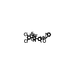 Cc1cc(C2=NOC(c3cc(Cl)cc(Cl)c3)(C(F)(F)F)C2(F)F)ccc1C(=O)NCc1ccccn1